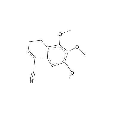 COc1cc2c(c(OC)c1OC)CCC=C2C#N